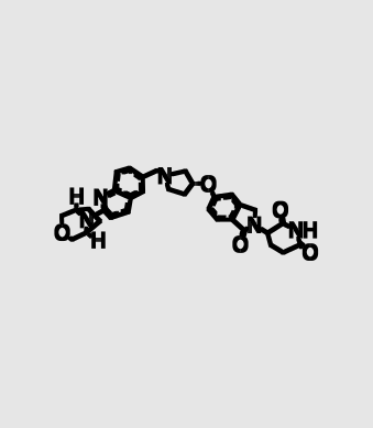 O=C1CCC(N2Cc3cc(O[C@H]4CCN(Cc5ccc6nc(N7[C@@H]8CC[C@H]7COC8)ccc6c5)C4)ccc3C2=O)C(=O)N1